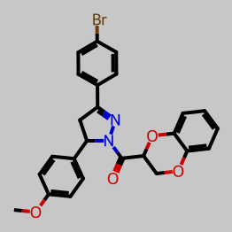 COc1ccc(C2CC(c3ccc(Br)cc3)=NN2C(=O)C2COc3ccccc3O2)cc1